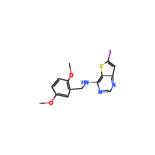 COc1ccc(OC)c(CNc2ncnc3cc(I)sc23)c1